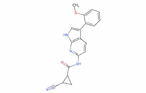 COc1ccccc1-c1c[nH]c2nc(NC(=O)C3CC3C#N)ccc12